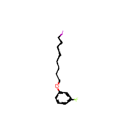 Fc1cccc(OCCCCCCCCI)c1